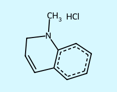 CN1CC=Cc2ccccc21.Cl